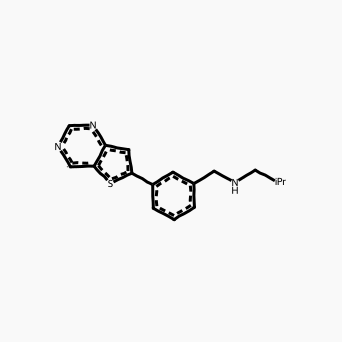 CC(C)CNCc1cccc(-c2cc3ncn[c]c3s2)c1